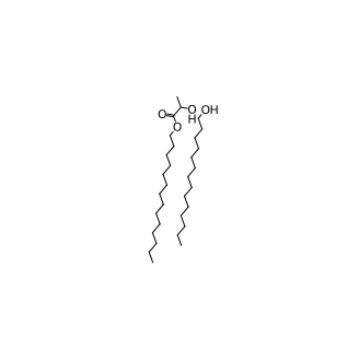 CCCCCCCCCCCCCCO.CCCCCCCCCCCCCCOC(=O)C(C)O